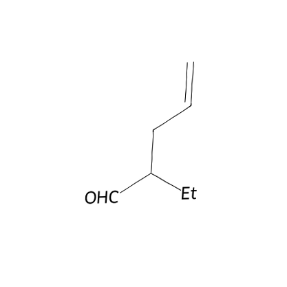 C=CCC(C=O)CC